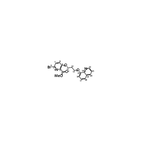 COC(=O)c1nc(Br)ccc1OCCCOc1cccc2cccnc12